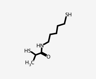 CC(S)C(=O)NCCCCCS